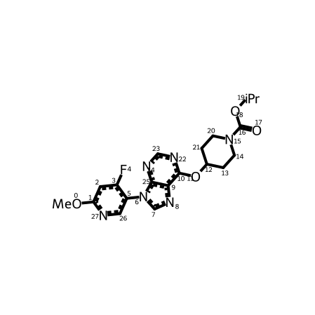 COc1cc(F)c(-n2cnc3c(OC4CCN(C(=O)OC(C)C)CC4)ncnc32)cn1